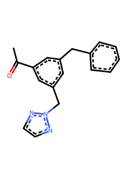 CC(=O)c1cc(Cc2ccccc2)cc(Cn2nccn2)c1